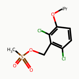 CC(C)Oc1ccc(Cl)c(COS(C)(=O)=O)c1Cl